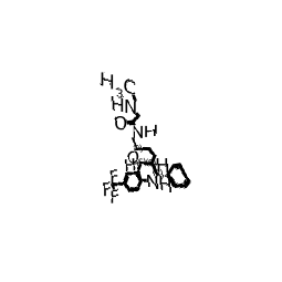 CCNCC(=O)NC[C@H]1CC[C@@H]2[C@H](O1)c1cc(C(F)(F)F)ccc1N[C@H]2c1ccccc1